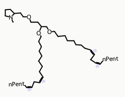 CCCCC/C=C\C/C=C\CCCCCCCCOCC(CCOCCC1CCCN1C)OCCCCCCCC/C=C\C/C=C\CCCCC